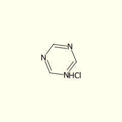 Cl.c1ncncn1